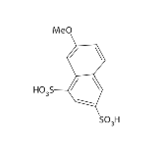 COc1ccc2cc(S(=O)(=O)O)cc(S(=O)(=O)O)c2c1